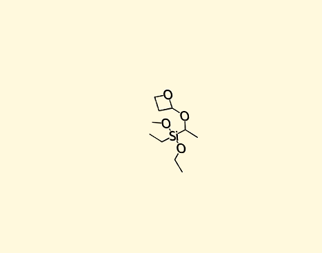 CCO[Si](CC)(OC)C(C)OC1CCO1